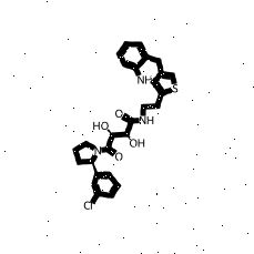 Nc1ccccc1Cc1csc(CCNC(=O)[C@H](O)[C@@H](O)C(=O)N2CCC[C@@H]2c2cccc(Cl)c2)c1